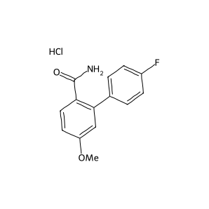 COc1ccc(C(N)=O)c(-c2ccc(F)cc2)c1.Cl